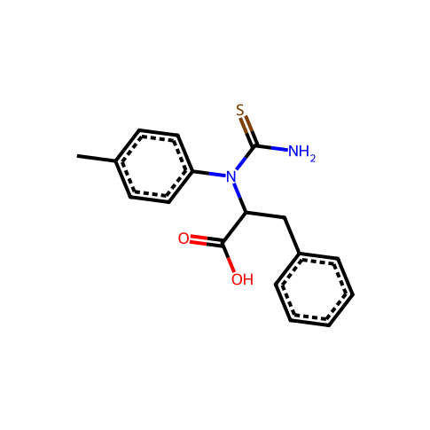 Cc1ccc(N(C(N)=S)C(Cc2ccccc2)C(=O)O)cc1